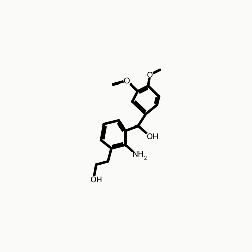 COc1ccc(C(O)c2cccc(CCO)c2N)cc1OC